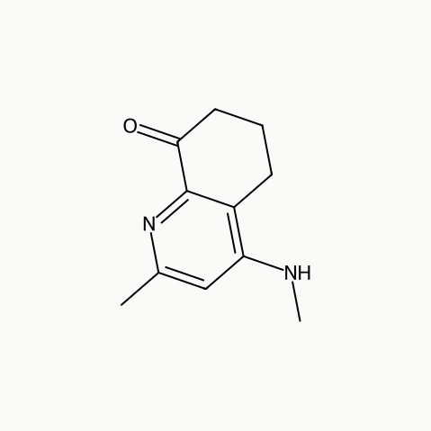 CNc1cc(C)nc2c1CCCC2=O